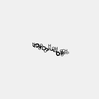 CNS(=O)(=O)c1cccc(OC[C@@H](O)CN[C@H]2COC3(CCN(S(=O)(=O)c4ccc5nccn5c4)CC3)C2)c1